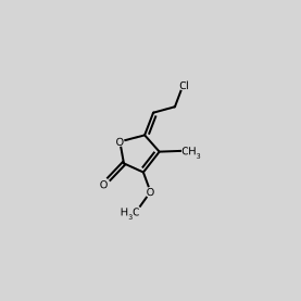 COC1=C(C)/C(=C\CCl)OC1=O